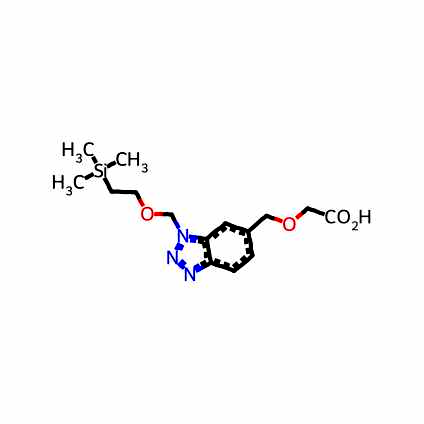 C[Si](C)(C)CCOCn1nnc2ccc(COCC(=O)O)cc21